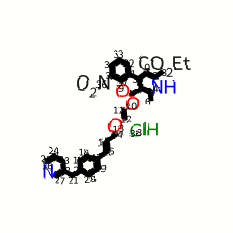 CCOC(=O)C1=C(C)NC(C)=C(C(=O)OCCOCC=Cc2ccc(Cc3cccnc3)cc2)C1c1cccc([N+](=O)[O-])c1.Cl